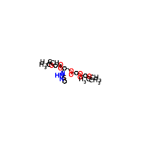 CC(C)(C)Oc1ccc(C(=O)Oc2ccc(C(=O)OCCc3ccc(OC(=O)c4ccc(OC(C)(C)C)cc4)c(/C=N/Nc4nc5ccccc5s4)c3)cc2)cc1